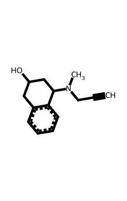 C#CCN(C)C1CC(O)Cc2ccccc21